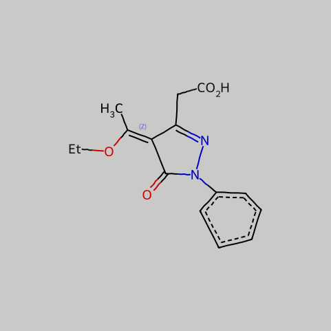 CCO/C(C)=C1\C(=O)N(c2ccccc2)N=C1CC(=O)O